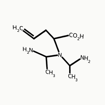 C=CCC(C(=O)O)N(C(C)N)C(C)N